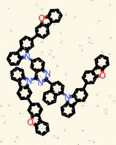 c1ccc2c(c1)oc1cc(-c3ccc4c5ccccc5n(-c5ccc6nc(-c7ccc(-n8c9ccccc9c9ccc(-c%10ccc%11c(c%10)oc%10ccccc%10%11)cc98)c8ccccc78)nc(-n7c8ccccc8c8ccc(-c9ccc%10c(c9)oc9ccccc9%10)cc87)c6c5)c4c3)ccc12